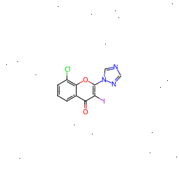 O=c1c(I)c(-n2cncn2)oc2c(Cl)cccc12